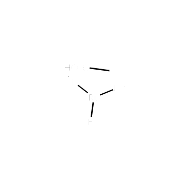 CC(=O)O.[F][Ru]([F])[F]